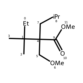 CCC(C)(C)C(COC)(CC(C)C)C(=O)OC